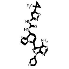 Nc1ncnc2c1c(-c1ccc(NC(=O)Nc3cc(C4(C(F)(F)F)CC4)on3)c3nccn13)nn2C1CCOC1